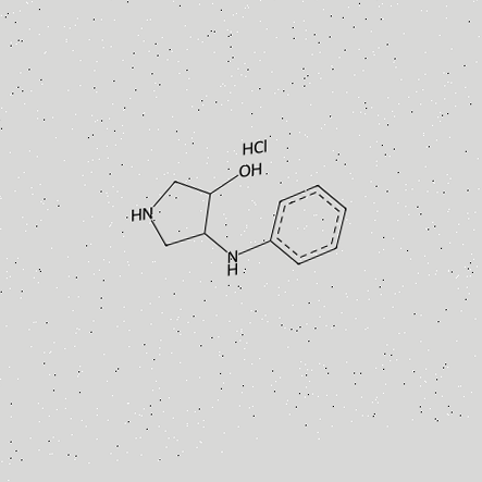 Cl.OC1CNCC1Nc1ccccc1